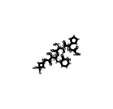 CCC[C@@H](C(=O)N[C@@H](C[C@@H]1CCCNC1=O)C(O)C(=O)NC1CC(F)(F)C1)N(C)C(=O)[C@H](NC(=O)C(C)(C)C)C1CCCC1